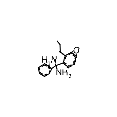 CCCc1c(C(N)(N)c2ccccc2)ccc2c1O2